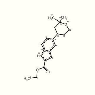 CCOC(=O)c1cc2cc(C3CCOC(C)(C)C3)ccc2[nH]1